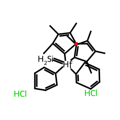 CC1=C(C)C(C)[C]([Hf](=[SiH2])([C]2=C(C)C(C)=C(C)C2C)([c]2ccccc2)[c]2ccccc2)=C1C.Cl.Cl